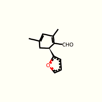 CC1=CC(C)=C(C=O)[C@@H](c2ccco2)C1